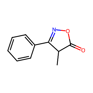 CC1C(=O)ON=C1c1ccccc1